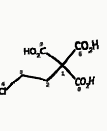 O=C(O)C(CCCl)(C(=O)O)C(=O)O